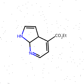 CCOC(=O)C1=CC=NC2NC=CC12